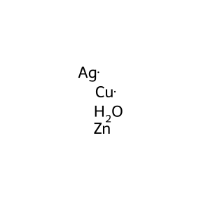 O.[Ag].[Cu].[Zn]